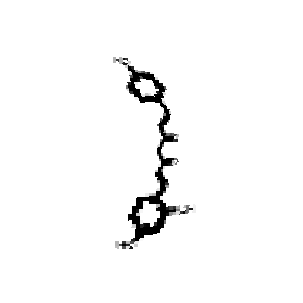 O=C(C=Cc1ccc(O)cc1)CC(=O)C=Cc1ccc(O)cc1O